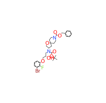 CC(C)(C)OC(=O)N(C[C@H](O)COc1cccc(Br)c1F)[C@@H]1COC2(CCN(C(=O)OCc3ccccc3)CC2)C1